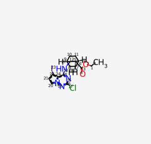 CCOC(=O)[C@H]1[C@H]2CC[C@H](CC2)[C@@H]1Nc1nc(Cl)nn2ccc(I)c12